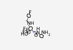 Nc1ccccc1NC(=O)/C=C/c1ccc(CNC2CC2c2ccc(F)cc2)cc1.O=C(O)C(F)(F)F